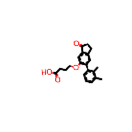 Cc1cccc(-c2cc3c(cc2OCCCC(=O)O)C(=O)CC3)c1C